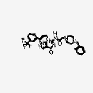 O=C(CN1CCN(Cc2ccccc2)CC1)Nc1nc(=O)c2cnn3c2n1CC=C3c1cccc(C(F)(F)F)c1